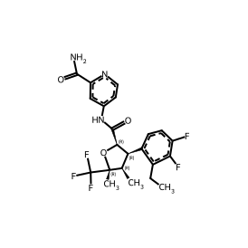 CCc1c([C@H]2[C@@H](C)[C@](C)(C(F)(F)F)O[C@H]2C(=O)Nc2ccnc(C(N)=O)c2)ccc(F)c1F